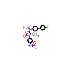 C[C@H]1[C@H](N(C)C2CCC(c3ccc(F)cc3)CC2)OC(=O)N1c1ccc2[nH]c(=O)oc2c1